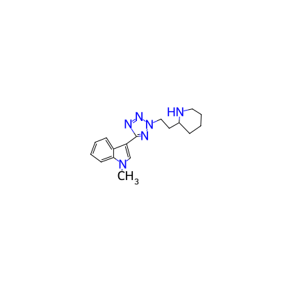 Cn1cc(-c2nnn(CCC3CCCCN3)n2)c2ccccc21